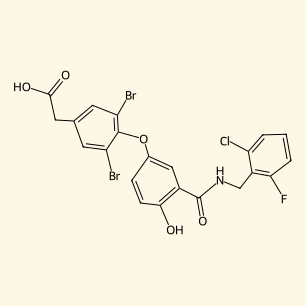 O=C(O)Cc1cc(Br)c(Oc2ccc(O)c(C(=O)NCc3c(F)cccc3Cl)c2)c(Br)c1